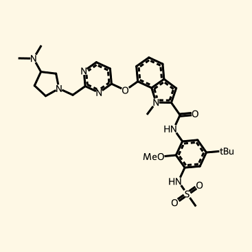 COc1c(NC(=O)c2cc3cccc(Oc4ccnc(CN5CCC(N(C)C)C5)n4)c3n2C)cc(C(C)(C)C)cc1NS(C)(=O)=O